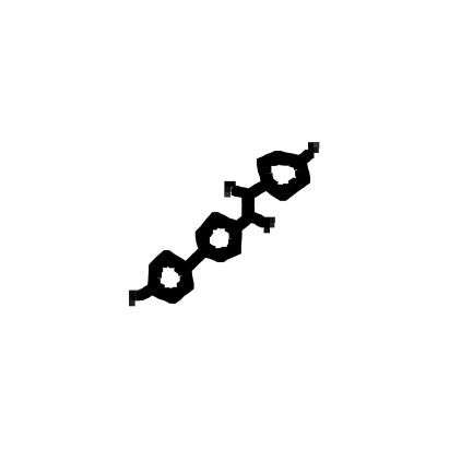 F/C(=C(/F)c1ccc(-c2ccc(F)cc2)cc1)c1ccc(F)cc1